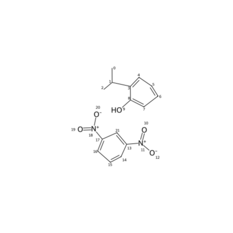 CC(C)c1ccccc1O.O=[N+]([O-])c1cccc([N+](=O)[O-])c1